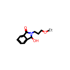 CCOCCCN1C(=O)c2ccccc2C1O